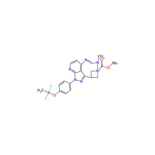 CN1/C=N/c2ccnc3c2c(nn3-c2ccc(OC(C)(F)F)cc2)C2C[N+]1(C(=O)OC(C)(C)C)C2